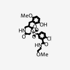 COCCNC(=O)c1cc(S(=O)(=O)N2CC(=O)NCC(Cc3cc(O)ccc3OC)C2=O)ccc1Cl